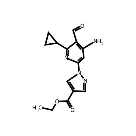 CCOC(=O)c1cnn(-c2cc(N)c(C=O)c(C3CC3)n2)c1